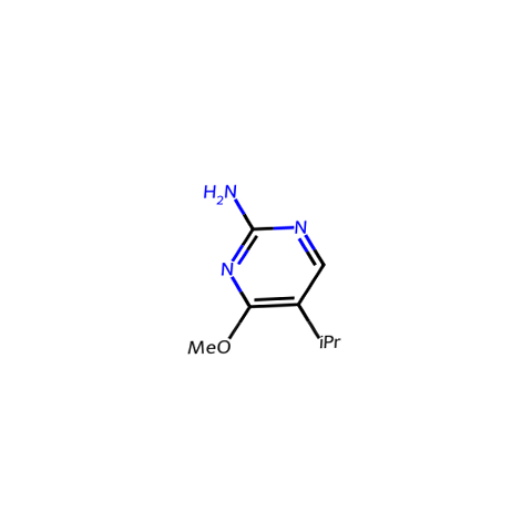 COc1nc(N)ncc1C(C)C